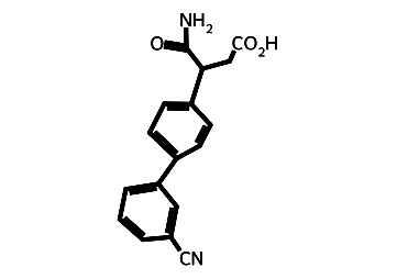 N#Cc1cccc(-c2ccc(C(CC(=O)O)C(N)=O)cc2)c1